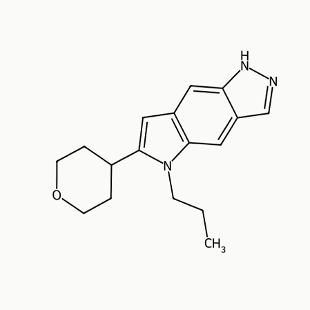 CCCn1c(C2CCOCC2)cc2cc3[nH]ncc3cc21